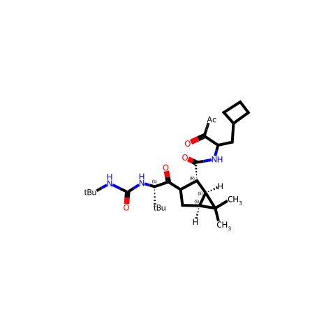 CC(=O)C(=O)C(CC1CCC1)NC(=O)[C@H]1C(C(=O)[C@@H](NC(=O)NC(C)(C)C)C(C)(C)C)C[C@H]2[C@@H]1C2(C)C